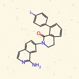 Nc1nccc2ccc(N3CCc4cccc(-c5ccc(I)cc5)c4C3=O)cc12